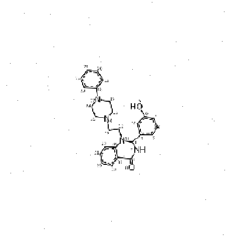 O=C1NC(c2cccc(O)c2)N(CCN2CCN(c3ccccc3)CC2)c2ccccc21